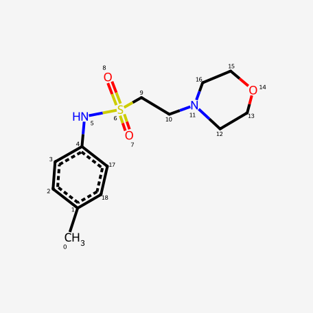 Cc1ccc(NS(=O)(=O)CCN2CCOCC2)cc1